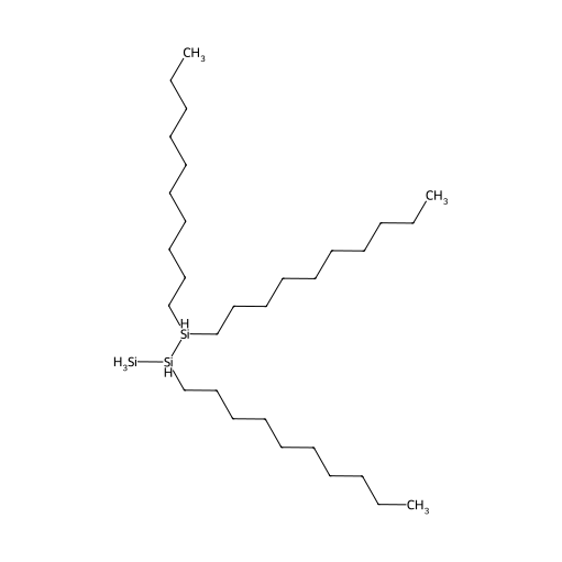 CCCCCCCCCC[SiH]([SiH3])[SiH](CCCCCCCCCC)CCCCCCCCCC